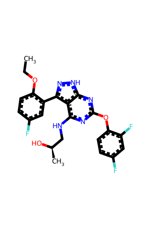 CCOc1ccc(F)cc1-c1n[nH]c2nc(Oc3ccc(F)cc3F)nc(NC[C@@H](C)O)c12